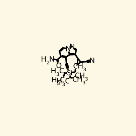 CC(C)[Si](C#Cc1c(C(N)=O)ccn2ncc(C3CC3C#N)c12)(C(C)C)C(C)C